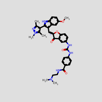 COc1ccc2[nH]c(-c3c(C)nn(C)c3C)c(/C=C3\Oc4ccc(NC(=O)Nc5ccc(C(=O)NCCN(C)C)cc5)cc4C3=O)c2c1